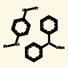 CC(C)Nc1ccc(NC(C)C)cc1.CCCCCCCCCN(c1ccccc1)c1ccccc1